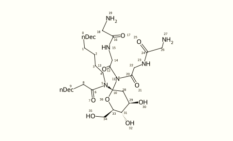 CCCCCCCCCCCCCCN(C(=O)CCCCCCCCCCC)[C@@]1(N(C(=O)CNC(=O)CN)C(=O)CNC(=O)CN)C[C@@H](O)[C@H](O)[C@@H](CO)O1